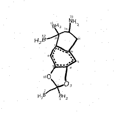 BC1(B)Oc2cc3c(cc2O1)C(B)(B)C(N)C3